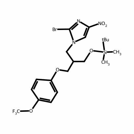 CC(C)(C)[Si](C)(C)OCC(COc1ccc(OC(F)(F)F)cc1)Cn1cc([N+](=O)[O-])nc1Br